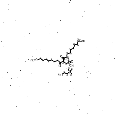 CCCCCCCCCCCCCCCCCC(=O)C(CP(=O)(O)O)C(=O)CCCCCCCCCCCCCCCCC.C[N+](C)(C)CCO